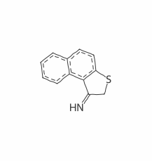 N=C1CSc2ccc3ccccc3c21